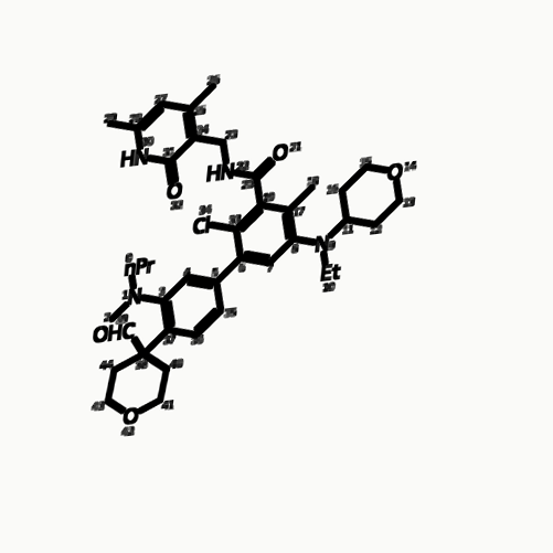 CCCN(C)c1cc(-c2cc(N(CC)C3CCOCC3)c(C)c(C(=O)NCc3c(C)cc(C)[nH]c3=O)c2Cl)ccc1C1(C=O)CCOCC1